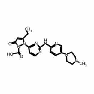 CCc1cc(=O)n(C(=O)O)n1-c1ccnc(Nc2ccc(N3CCN(C)CC3)cn2)n1